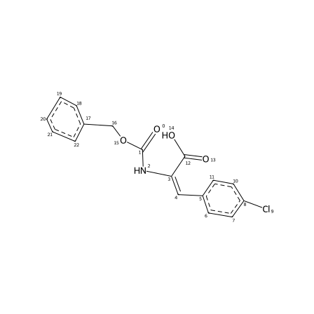 O=C(N/C(=C/c1ccc(Cl)cc1)C(=O)O)OCc1ccccc1